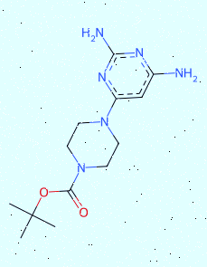 CC(C)(C)OC(=O)N1CCN(c2cc(N)nc(N)n2)CC1